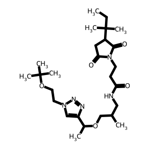 CCC(C)(C)C1CC(=O)N(CCC(=O)NCC(C)COC(C)c2cn(CCOC(C)(C)C)nn2)C1=O